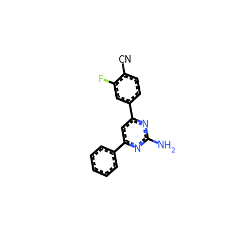 N#Cc1ccc(-c2cc(-c3ccccc3)nc(N)n2)cc1F